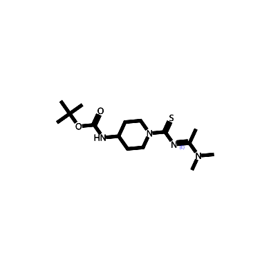 C/C(=N\C(=S)N1CCC(NC(=O)OC(C)(C)C)CC1)N(C)C